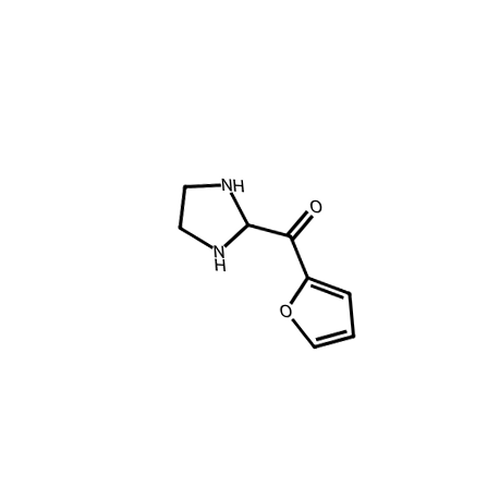 O=C([C]1NCCN1)c1ccco1